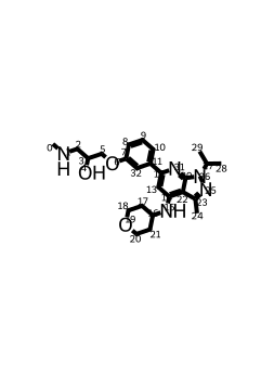 CNCC(O)COc1cccc(-c2cc(NC3CCOCC3)c3c(C)nn(C(C)C)c3n2)c1